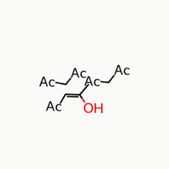 CC(=O)/C=C(/C)O.CC(=O)CC(C)=O.CC(=O)CC(C)=O